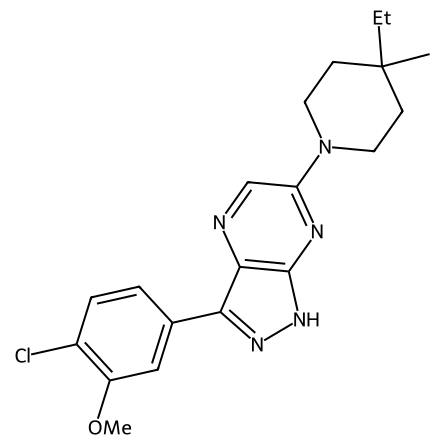 CCC1(C)CCN(c2cnc3c(-c4ccc(Cl)c(OC)c4)n[nH]c3n2)CC1